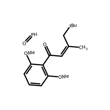 COc1cccc(OC)c1C(=O)C=C(C)CC(C)(C)C.O=P